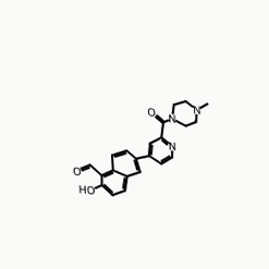 CN1CCN(C(=O)c2cc(-c3ccc4c(C=O)c(O)ccc4c3)ccn2)CC1